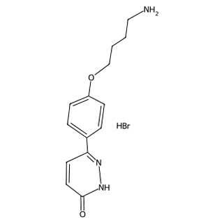 Br.NCCCCOc1ccc(-c2ccc(=O)[nH]n2)cc1